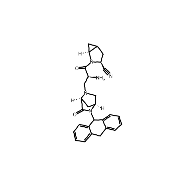 N#C[C@@H]1CC2C[C@@H]2N1C(=O)[C@@H](N)CN1C[C@@H]2C[C@H]1C(=O)N2C1c2ccccc2Cc2ccccc21